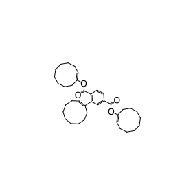 O=C(OC1=CCCCCCCCC1)c1ccc(C(=O)OC2=CCCCCCCCC2)c(C2=CCCCCCCCC2)c1